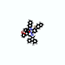 CCC1C=C(C(CC)c2ccccc2-c2ccccc2C)N=C(c2ccc3c(sc4cc5ccccc5cc43)c2-n2c3ccccc3c3cc4ccccc4cc32)N=C1c1cccc2oc3ccccc3c12